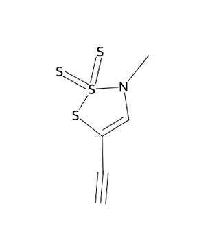 C#CC1=CN(C)S(=S)(=S)S1